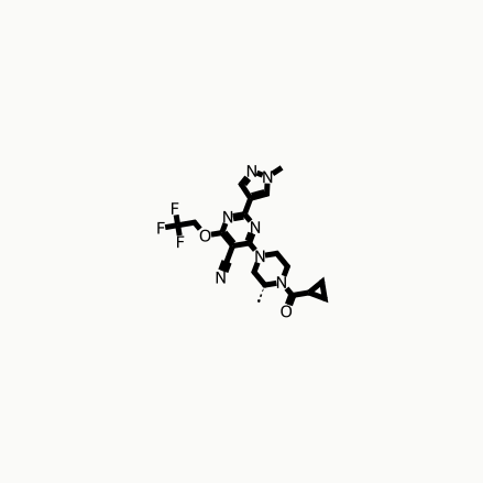 C[C@@H]1CN(c2nc(-c3cnn(C)c3)nc(OCC(F)(F)F)c2C#N)CCN1C(=O)C1CC1